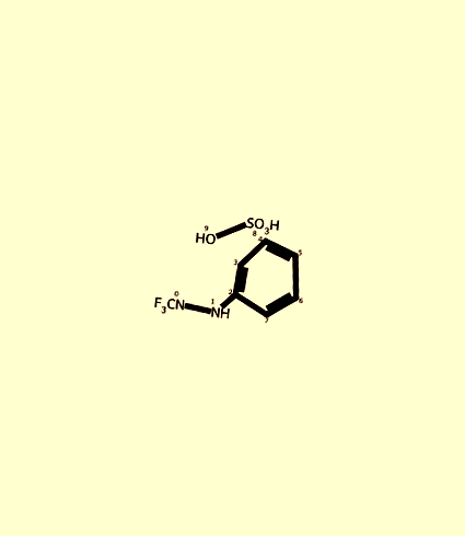 FC(F)(F)NNc1ccccc1.O=S(=O)(O)O